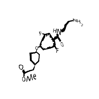 COC(=O)C[C@H]1CC[C@@H](Oc2cc(F)c(C(=O)NCCN)cc2F)CC1